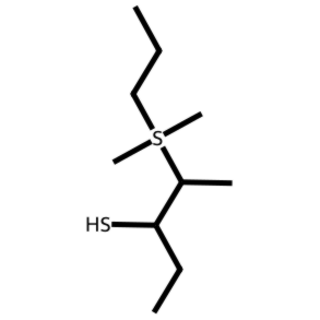 CCCS(C)(C)C(C)C(S)CC